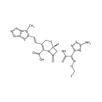 Cc1c(/C=C/C2=C(C(=O)O)N3C(=O)[C@@H](NC(=O)/C(=N\OCF)c4nsc(N)n4)[C@H]3SC2)sc2cncn12